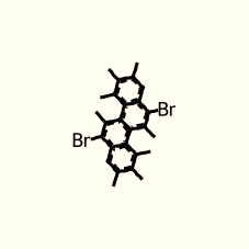 Cc1cc2c(Br)c(C)c3c4c(C)c(C)c(C)cc4c(Br)c(C)c3c2c(C)c1C